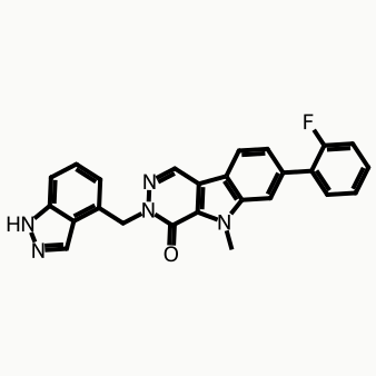 Cn1c2cc(-c3ccccc3F)ccc2c2cnn(Cc3cccc4[nH]ncc34)c(=O)c21